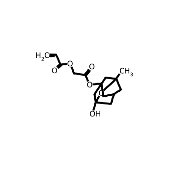 C=CC(=O)OCC(=O)OC12CC3CC(C)(CC(O)(C3)C1)C2